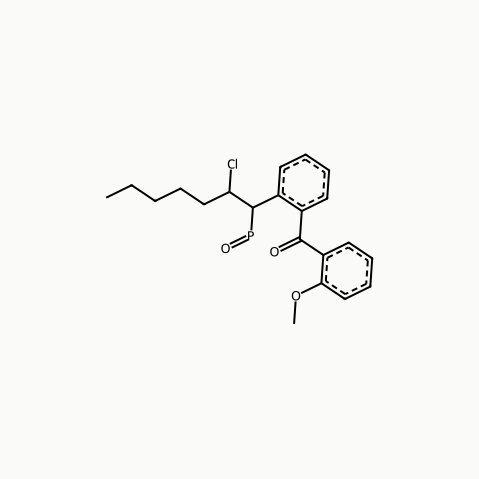 CCCCCC(Cl)C(P=O)c1ccccc1C(=O)c1ccccc1OC